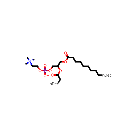 CCCCCCCCCCCCCCCCCCC(=O)OCC(COP(=O)(O)OCC[N+](C)(C)C)OC(=O)CCCCCCCCCCC